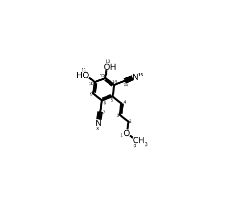 COCC=Cc1c(C#N)cc(O)c(O)c1C#N